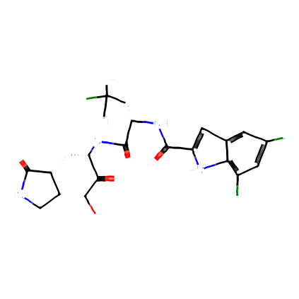 CC(C)(F)C[C@H](NC(=O)c1cc2cc(F)cc(F)c2[nH]1)C(=O)N[C@@H](C[C@@H]1CCNC1=O)C(=O)CO